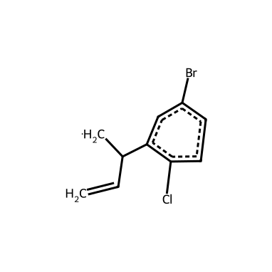 [CH2]C(C=C)c1cc(Br)ccc1Cl